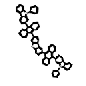 c1ccc(-n2c3ccccc3c3ccc(-c4c5ccccc5c(-c5ccc6c(c5)sc5ccc(-c7c8ccccc8c(-c8ccc9c%10ccccc%10n(-c%10ccccc%10)c9c8)c8ccccc78)cc56)c5ccccc45)cc32)cc1